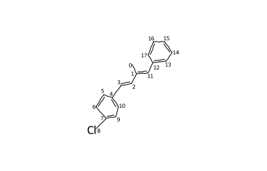 CC(/C=C/c1ccc(Cl)cc1)=C\c1ccccc1